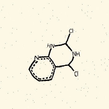 ClC1Nc2ncccc2C(Cl)N1